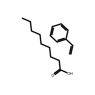 C=Cc1ccccc1.CCCCCCCCC(=O)O